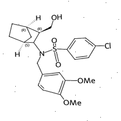 COc1ccc(CN(C2[C@H]3CC[C@H](C3)[C@H]2CO)S(=O)(=O)c2ccc(Cl)cc2)cc1OC